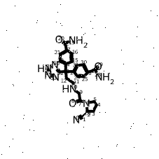 N#C[C@@H]1CCCN1C(=O)CNCCC(c1ccc(C(N)=O)cc1)(c1ccc(C(N)=O)cc1)c1nn[nH]n1